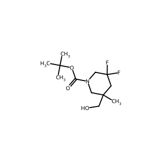 CC1(CO)CN(C(=O)OC(C)(C)C)CC(F)(F)C1